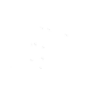 CCCn1c(=O)c2[nH]c(-c3cnn(CC4CC(=O)N(c5cccc(F)c5)C4)c3)nc2n2ccnc12